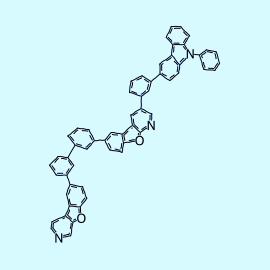 c1ccc(-n2c3ccccc3c3cc(-c4cccc(-c5cnc6oc7ccc(-c8cccc(-c9cccc(-c%10ccc%11oc%12cnccc%12c%11c%10)c9)c8)cc7c6c5)c4)ccc32)cc1